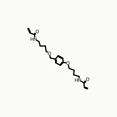 C=CC(=O)NCCCCOCc1ccc(OCCCCNC(=O)C=C)cc1